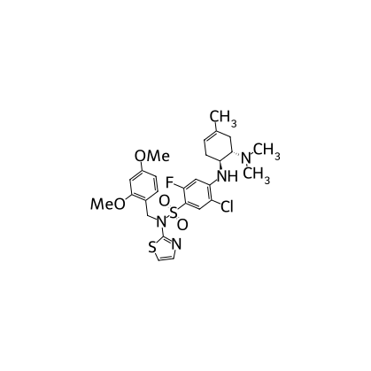 COc1ccc(CN(c2nccs2)S(=O)(=O)c2cc(Cl)c(N[C@H]3CC=C(C)C[C@@H]3N(C)C)cc2F)c(OC)c1